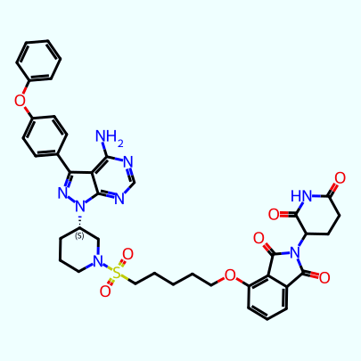 Nc1ncnc2c1c(-c1ccc(Oc3ccccc3)cc1)nn2[C@H]1CCCN(S(=O)(=O)CCCCCOc2cccc3c2C(=O)N(C2CCC(=O)NC2=O)C3=O)C1